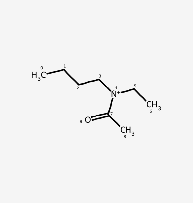 CCCC[N+](CC)C(C)=O